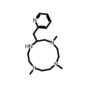 CN1CCNC(Cc2ccccn2)CN(C)CCN(C)CC1